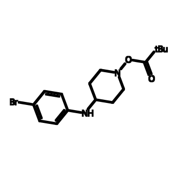 CC(C)(C)C(=O)ON1CCC(Nc2ccc(Br)cc2)CC1